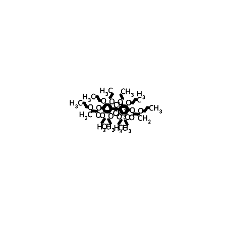 C=C(OCCC)C(=O)Oc1c(OCCC)c(OCCC)c(C(C)(C)c2c(OCCC)c(OCCC)c(OC(=O)C(=C)OCCC)c(OCCC)c2OCCC)c(OCCC)c1OCCC